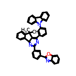 CC1(C)c2ccccc2-c2nc(-c3cccc(-c4nc5ccccc5o4)c3)nc(-c3cccc(-n4c5ccccc5c5ccccc54)c3)c21